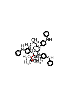 CC(C)CC(C)N(CC(CN(c1ccc(Nc2ccccc2)cc1)C(C)CC(C)C)N(c1ccc(Nc2ccccc2)cc1)C(C)CC(C)C)c1ccc(Nc2ccccc2)cc1